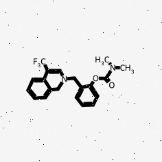 CN(C)C(=O)Oc1ccccc1CN1C=C(C(F)(F)F)c2ccccc2C1